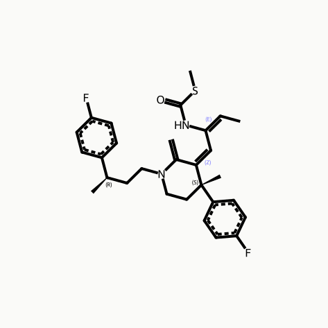 C=C1/C(=C\C(=C/C)NC(=O)SC)[C@](C)(c2ccc(F)cc2)CCN1CC[C@@H](C)c1ccc(F)cc1